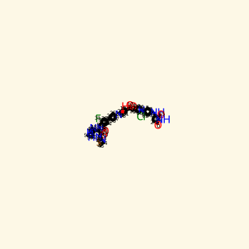 O=C1CCC(Nc2ccc(N3CCC(O)(CC(=O)C4CC5(C4)CN(c4ccc(-c6cc(F)c7c(c6)C(=O)N(C(C(=O)Nc6nccs6)c6ncn8c6CCC8)C7)cc4)C5)CC3)c(Cl)c2)C(=O)N1